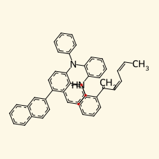 C=C(/C=C\C=C/C)c1ccccc1Nc1ccccc1N(c1ccccc1)c1ccc(-c2ccc3ccccc3c2)c2ccccc12